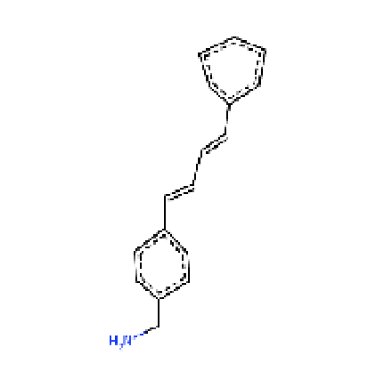 NCc1ccc(C=CC=Cc2ccccc2)cc1